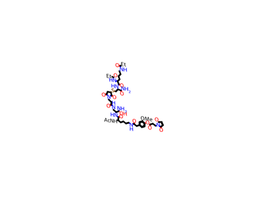 CCC(=O)NCCCCC(NC(=O)CC)C(=O)NC(CSC1CC(=O)N(CCC(=O)NCC(NC(=O)C(CCCCNC(=O)Cc2ccc(OC(=O)CCN3C(=O)C=CC3=O)c(OC)c2)NC(C)=O)C(N)O)C1=O)C(N)=O